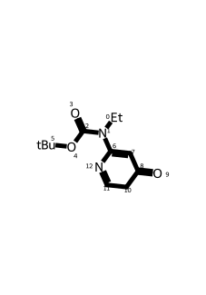 CCN(C(=O)OC(C)(C)C)C1=CC(=O)CC=N1